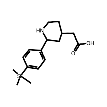 C[Si](C)(C)c1ccc(C2CC(CC(=O)O)CCN2)cc1